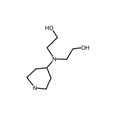 OCCN(CCO)C1CC[N]CC1